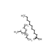 CCCCCCCCCCC(=O)O.CCO[SiH](OCC)OCC